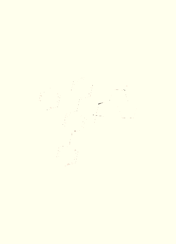 CCC(C)(C)C(c1ccccc1-c1ncc(-c2ccccc2)nc1-c1ccccc1)[C@H]1OC(=O)C2CCCN21